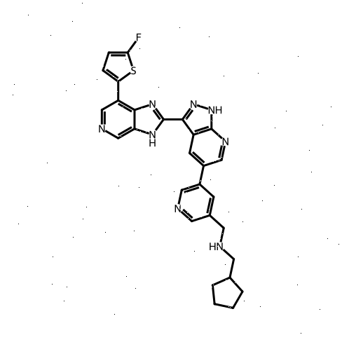 Fc1ccc(-c2cncc3[nH]c(-c4n[nH]c5ncc(-c6cncc(CNCC7CCCC7)c6)cc45)nc23)s1